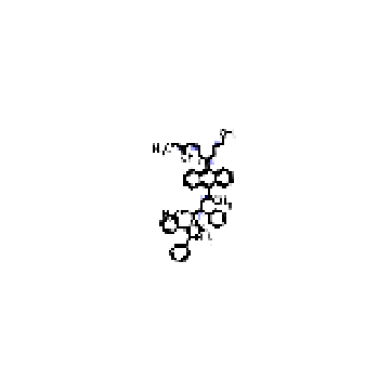 C=C/C(=C(\C=C(/C)c1c2ccccc2c(/C(=C/C=C/C)C/C=C\C(C)=C\C)c2ccccc12)c1ccccc1C)n1cnc(C2=CCCC=C2)c1-c1ccccc1